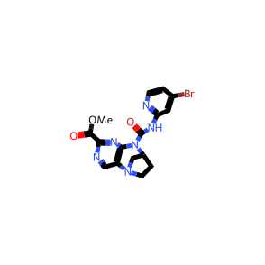 COC(=O)c1ncc2c(n1)N(C(=O)Nc1cc(Br)ccn1)C1CCN2C1